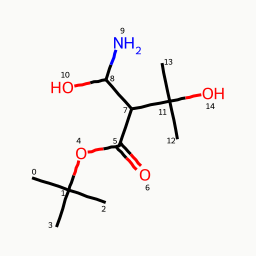 CC(C)(C)OC(=O)C(C(N)O)C(C)(C)O